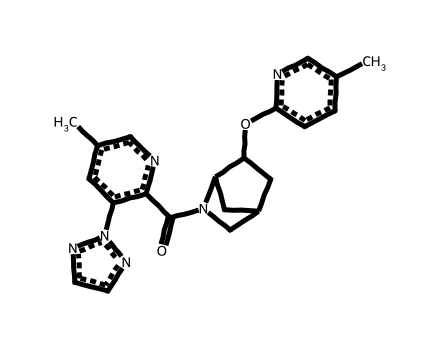 Cc1ccc(OC2CC3CC2N(C(=O)c2ncc(C)cc2-n2nccn2)C3)nc1